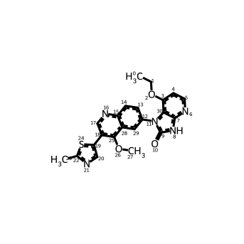 CCOc1ccnc2[nH]c(=O)n(-c3ccc4ncc(-c5cnc(C)s5)c(OC)c4c3)c12